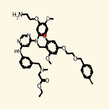 CCOC(=O)CN(C)Cc1cccc(Nc2cc(N(Cc3c(OC)cc(OCCOCc4ccc(C)cc4)cc3OC)c3ccc(OC)c(OCCN)c3)ncn2)c1